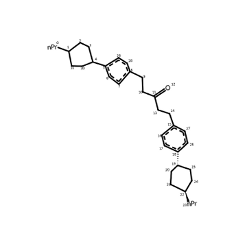 CCCC1CCC(c2ccc(CCC(=O)CCc3ccc([C@H]4CC[C@H](CCC)CC4)cc3)cc2)CC1